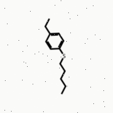 C[CH]CCCSc1ccc(CC)cc1